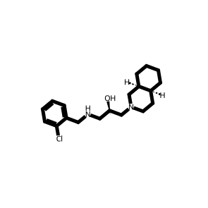 O[C@H](CNCc1ccccc1Cl)CN1CC[C@@H]2CCCC[C@@H]2C1